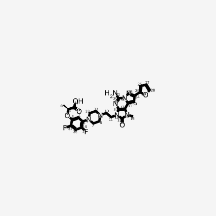 C[C@H](Oc1cc(N2CCN(CCn3c(=O)n(C)c4c3nc(N)n3nc(-c5ccco5)cc43)CC2)c(F)cc1F)C(=O)O